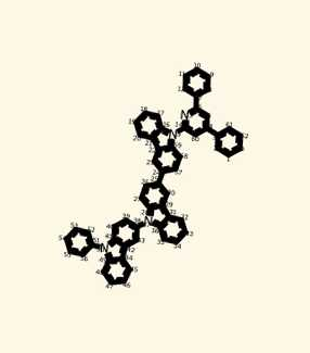 c1ccc(-c2cc(-c3ccccc3)nc(-n3c4ccccc4c4cc(-c5ccc6c(c5)c5ccccc5n6-c5ccc6c(c5)c5ccccc5n6-c5ccccc5)ccc43)c2)cc1